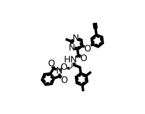 C#Cc1cccc(Oc2cnc(C)nc2C(=O)N[C@@H](CON2C(=O)c3ccccc3C2=O)Cc2ccc(C)cc2C)c1